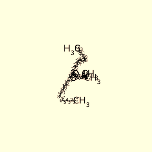 CCCCC/C=C\C/C=C\CCCCCCCCC(CCCCCC/C=C\C/C=C\CCCCC)OC(=O)CCCN(C)C